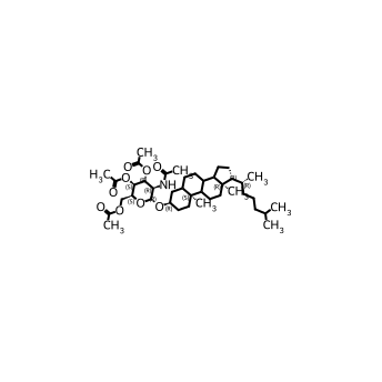 CC(=O)N[C@H]1[C@H](O[C@@H]2CC[C@@]3(C)C(CCC4C3CC[C@@]3(C)C4CC[C@@H]3[C@H](C)CCCC(C)C)C2)O[C@@H](COC(C)=O)[C@@H](OC(C)=O)[C@@H]1OC(C)=O